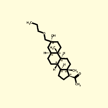 CCCOC[C@@]1(O)CC[C@@]2(C)[C@@H](CC[C@@H]3[C@@H]2CC[C@]2(C)[C@@H](C(C)=O)CC[C@@H]32)C1